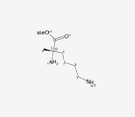 COC(=O)[C@@](C)(N)CCCCN